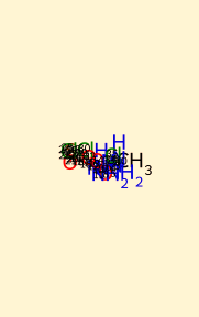 CNc1nc(N)c(C(=O)NC(N)=NC(=O)C2Cc3cc(C(=O)c4cccs4)c(Cl)c(Cl)c3O2)nc1Cl